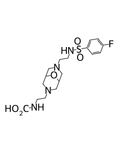 O=C(O)NCCN1CC2CN(CCNS(=O)(=O)c3ccc(F)cc3)CC(C1)O2